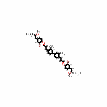 CCOC(Cc1ccc(OCCCc2ccc(-c3ccc(CCCOc4ccc(C[C@H](OCC)C(=O)O)cc4Br)c(C(F)(F)F)c3)cc2C(F)(F)F)c(Br)c1)C(=O)O